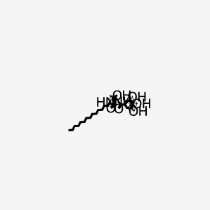 CCCCCCCCCCCCCCN[C@](C=O)(NC(=O)C1=C[C@H](O)[C@H](O)[C@@H](O)C1)[C@@H](C)O